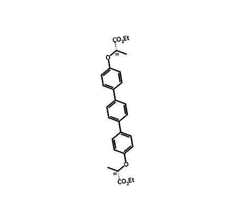 CCOC(=O)[C@H](C)Oc1ccc(-c2ccc(-c3ccc(O[C@@H](C)C(=O)OCC)cc3)cc2)cc1